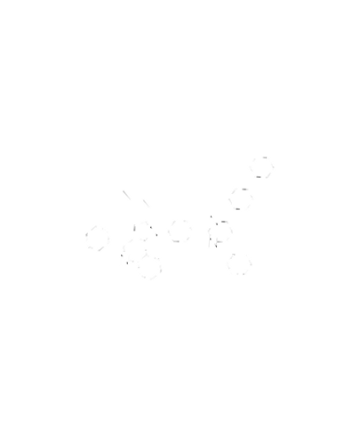 C=C/C=C\c1c(C)c2c(-c3ccccc3)nc3ccccc3c2n1-c1ccc(-c2nc(-c3ccccc3)cc(-c3ccc(-c4ccccc4)cc3)n2)cc1